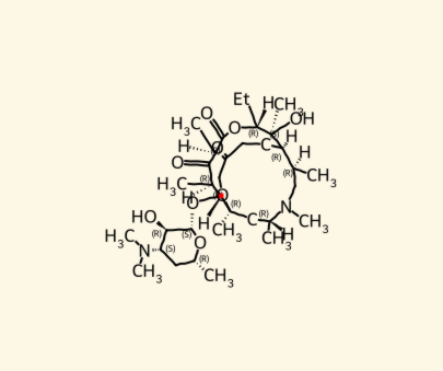 CC[C@H]1OC(=O)[C@H](C)C(=O)[C@H](C)[C@@H](O[C@@H]2O[C@H](C)C[C@H](N(C)C)[C@H]2O)[C@@]2(C)C[C@@H](C)N(C)C[C@H](C)[C@@H](CCC(=O)CO2)[C@]1(C)O